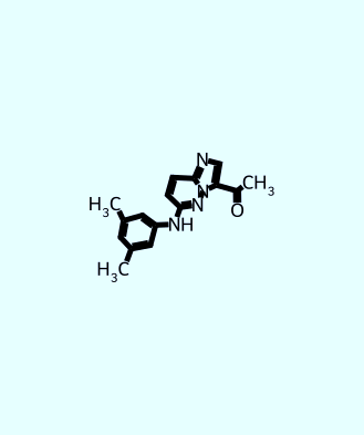 CC(=O)c1cnc2ccc(Nc3cc(C)cc(C)c3)nn12